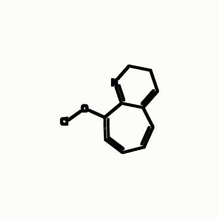 ClOC1=C=CC=CC2=CCCN=C12